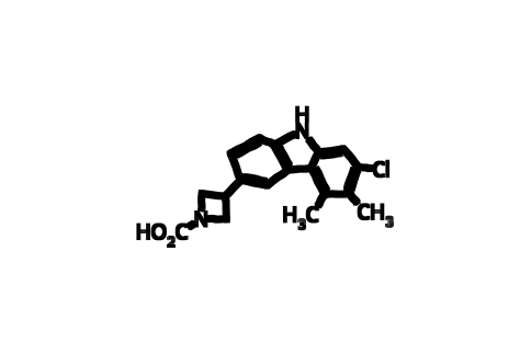 Cc1c(Cl)cc2[nH]c3ccc(C4CN(C(=O)O)C4)cc3c2c1C